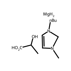 CC(O)C(=O)O.CCCCN1C=CN(C)C1.[MgH2]